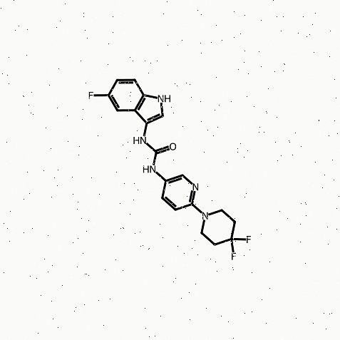 O=C(Nc1ccc(N2CCC(F)(F)CC2)nc1)Nc1c[nH]c2ccc(F)cc12